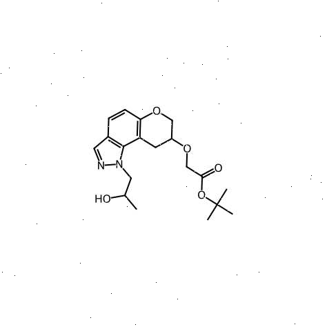 CC(O)Cn1ncc2ccc3c(c21)CC(OCC(=O)OC(C)(C)C)CO3